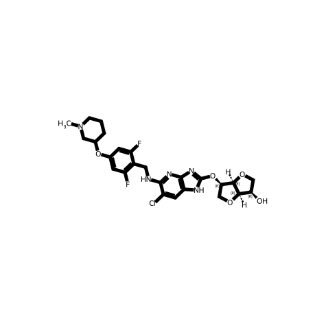 CN1CCCC(Oc2cc(F)c(CNc3nc4nc(O[C@@H]5CO[C@H]6[C@@H]5OC[C@H]6O)[nH]c4cc3Cl)c(F)c2)C1